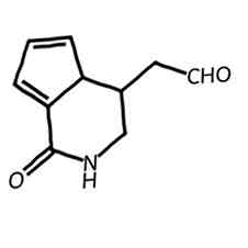 O=CCC1CNC(=O)C2=CC=CC21